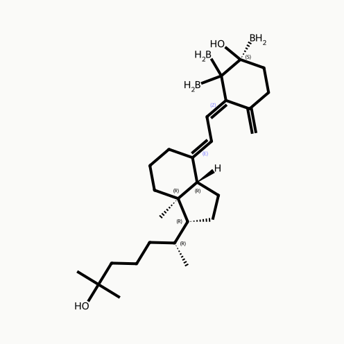 BC1(B)/C(=C/C=C2\CCC[C@]3(C)[C@@H]([C@H](C)CCCC(C)(C)O)CC[C@@H]23)C(=C)CC[C@]1(B)O